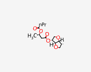 CCCC(=O)O[C@H](C)CC(=O)O[C@@H]1CO[C@@H]2[CH]CO[C@H]21